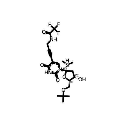 C[SiH](C)[C@]1(n2cc(C#CCNC(=O)C(F)(F)F)c(=O)[nH]c2=O)C[C@H](O)[C@@H](COC(C)(C)C)O1